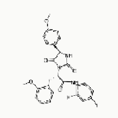 COc1ccc([C@H]2NC(=O)N([C@@H](Cc3ccccc3OC)C(=O)Nc3ccc(I)cc3F)C2=O)cc1